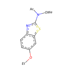 CCOc1ccc2nc(N(OC)C(C)=O)sc2c1